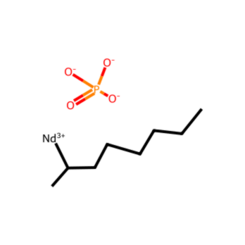 CCCCCC[CH](C)[Nd+3].O=P([O-])([O-])[O-]